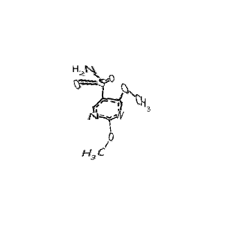 COc1ncc(S(N)(=O)=O)c(OC)n1